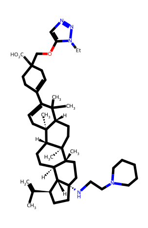 C=C(C)[C@@H]1CC[C@]2(NCCN3CCCCC3)CC[C@]3(C)[C@H](CC[C@@H]4[C@@]5(C)CC=C(C6=CCC(COc7cnnn7CC)(C(=O)O)CC6)C(C)(C)[C@@H]5CC[C@]43C)[C@@H]12